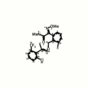 CNC(=O)/C(=N/OC)c1cccc(C)c1CO/N=C(\C)c1c(Cl)cccc1C(F)(F)F